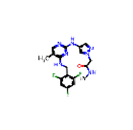 Cc1cnc(Nc2cnn(CC(=O)NC(C)C)c2)nc1NCc1c(F)cc(F)cc1F